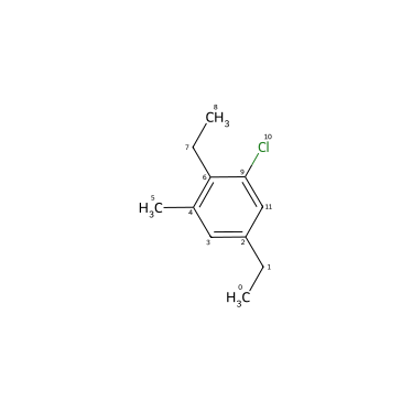 CCc1cc(C)c(CC)c(Cl)c1